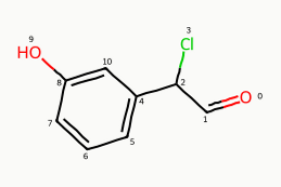 O=CC(Cl)c1cccc(O)c1